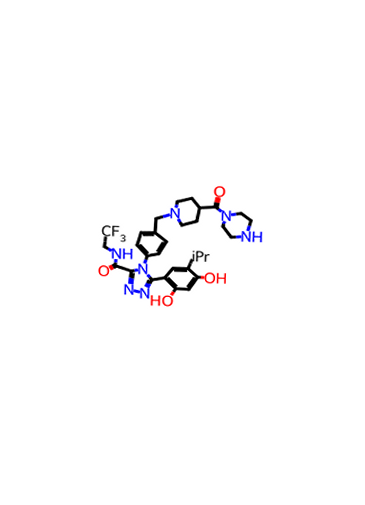 CC(C)c1cc(-c2nnc(C(=O)NCC(F)(F)F)n2-c2ccc(CN3CCC(C(=O)N4CCNCC4)CC3)cc2)c(O)cc1O